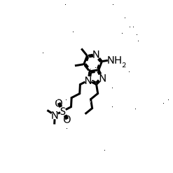 CCCCc1nc2c(N)nc(C)c(C)c2n1CCCCS(=O)(=O)N(C)C